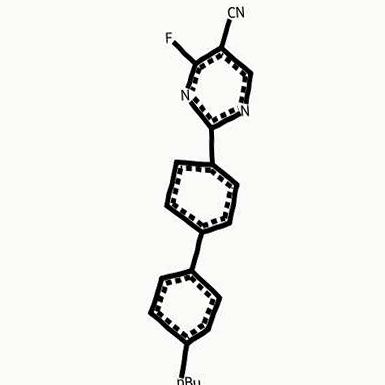 CCCCc1ccc(-c2ccc(-c3ncc(C#N)c(F)n3)cc2)cc1